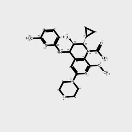 COc1nc(N2CCOCC2)cc2c1N(C(C)=O)[C@@H](C1CC1)[C@H](C)C2Nc1cccc(C)n1